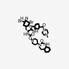 CN1CCN(C(=O)c2ccc3nc([C@@H](Cc4cc(Br)c(N)c(Br)c4)NC(=O)ON4CCC(N5CCc6ccccc6NC5=O)CC4)[nH]c3c2)CC1